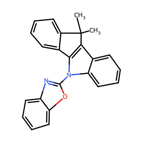 CC1(C)c2ccccc2-c2c1c1ccccc1n2-c1nc2ccccc2o1